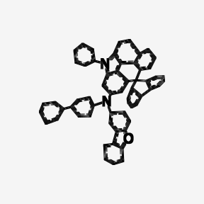 c1ccc(-c2ccc(N(c3ccc4oc5ccccc5c4c3)c3cc4c5c6c7c(cccc7ccc6n(-c6ccccc6)c5c3)C43c4ccccc4-c4ccccc43)cc2)cc1